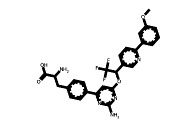 COc1cccc(-c2ccc(C(Oc3cc(-c4ccc(CC(N)C(=O)O)cc4)nc(N)n3)C(F)(F)F)cn2)c1